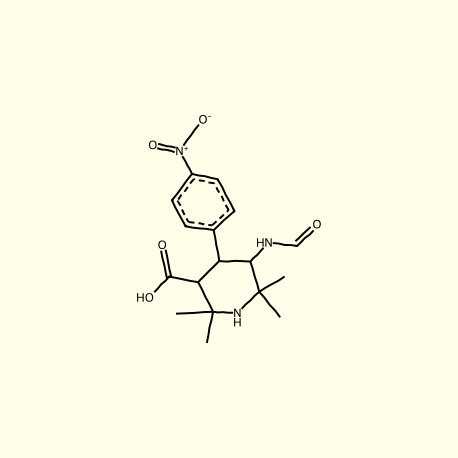 CC1(C)NC(C)(C)C(C(=O)O)C(c2ccc([N+](=O)[O-])cc2)C1NC=O